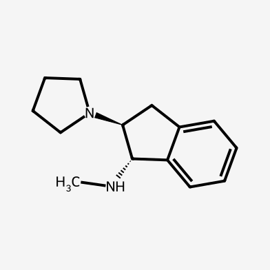 CN[C@H]1c2ccccc2C[C@@H]1N1CCCC1